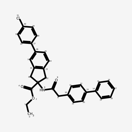 CCOC(=O)C1(NC(=O)Cc2ccc(-c3ccccc3)cc2)Cc2ccc(-c3ccc(Cl)cc3)cc2C1